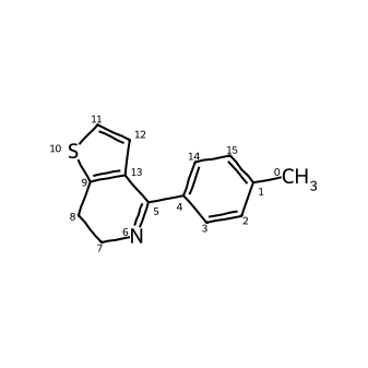 Cc1ccc(C2=NCCc3sccc32)cc1